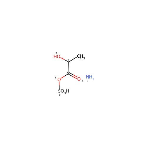 CC(O)C(=O)OS(=O)(=O)O.N